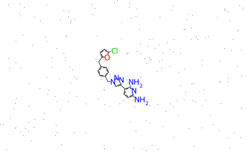 Nc1ccc(-c2cn(Cc3ccc(Cc4ccc(Cl)o4)cc3)nn2)c(N)n1